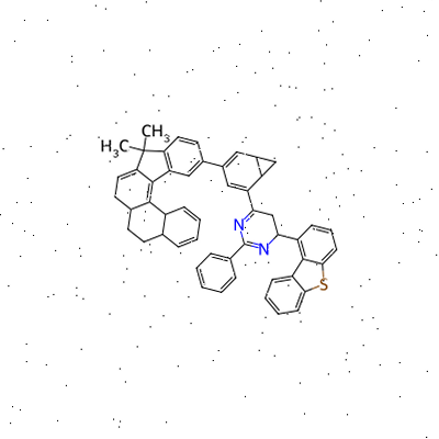 CC1(C)C2=CCC3CCC4C=CC=CC4C3=C2c2cc(C3=CC4CC4C(C4=NC(c5ccccc5)=NC(c5cccc6sc7ccccc7c56)C4)=C3)ccc21